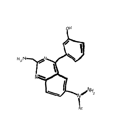 CC(=O)N(N)c1ccc2nc(N)nc(-c3cccc(O)c3)c2c1